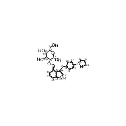 OC[C@H]1O[C@@H](O)[C@H](OOc2cccc3[nH]cc(Cc4ccc(-n5cccn5)cc4)c23)[C@@H](O)[C@@H]1O